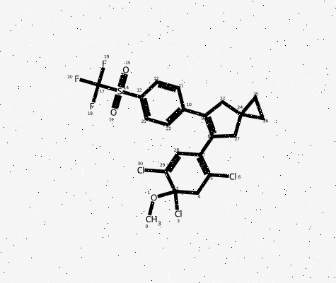 COC1(Cl)CC(Cl)=C(C2=C(c3ccc(S(=O)(=O)C(F)(F)F)cc3)CC3(CC3)C2)C=C1Cl